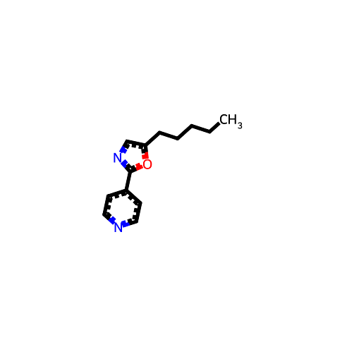 CCCCCc1cnc(-c2ccncc2)o1